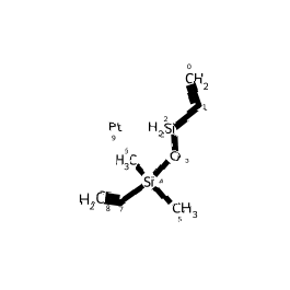 C=C[SiH2]O[Si](C)(C)C=C.[Pt]